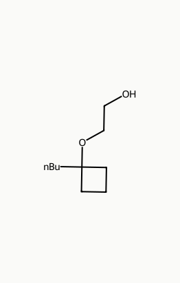 CCCCC1(OCCO)CCC1